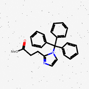 COC(=O)CCc1nccn1C(c1ccccc1)(c1ccccc1)c1ccccc1